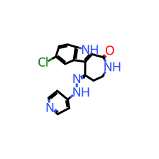 O=C1NCCC(=NNc2ccncc2)c2c1[nH]c1ccc(Cl)cc21